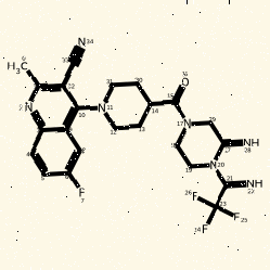 Cc1nc2ccc(F)cc2c(N2CCC(C(=O)N3CCN(C(=N)C(F)(F)F)C(=N)C3)CC2)c1C#N